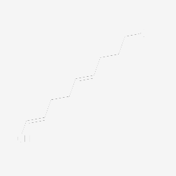 CC=CCCC=CCCCC